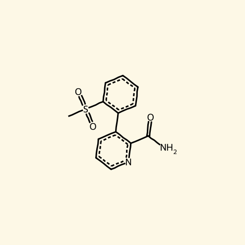 CS(=O)(=O)c1ccccc1-c1cccnc1C(N)=O